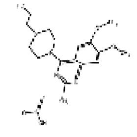 COc1cc2nc(C)nc(N3CCN(CCO)CC3)c2cc1OC.O=[N+]([O-])O